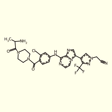 CC(N)C(=O)N1CCN(C(=O)c2ccc(Nc3nccn4c(-c5cn(CC#N)nc5C(F)(F)F)cnc34)cc2Cl)CC1